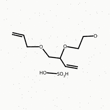 C=CCOCC(C=C)OCC[O].O=S(=O)(O)O